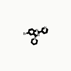 Brc1ccc2nc(-c3cccnc3)nc(N3CCCCC3)c2c1